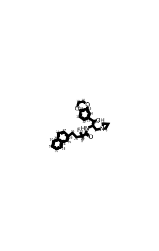 O=C(NC(CN1CCC1)C(O)c1ccc2c(c1)OCCO2)C(F)(F)CCc1ccc2ccccc2c1